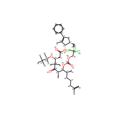 C=C[C@@H]1CC(c2ccccc2)=C(C)[C@H]1OC(=O)C[C@H](O[Si](C)(C)C(C)(C)C)C(C)(C)C(=O)[C@H](C)[C@@H](OC(=O)OCC(Cl)(Cl)Cl)[C@@H](C)CCCC(=C)C